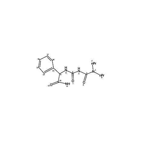 CCCN(CCC)C(=O)NC(=O)NC(C([NH])=O)c1ccccc1